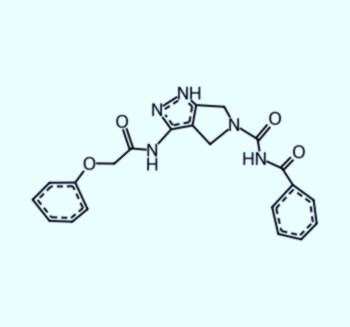 O=C(COc1ccccc1)Nc1n[nH]c2c1CN(C(=O)NC(=O)c1ccccc1)C2